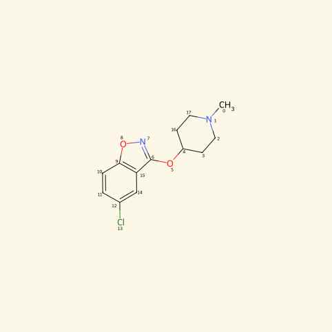 CN1CCC(Oc2noc3ccc(Cl)cc23)CC1